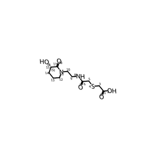 O=C(O)CSCC(=O)NCCN1CCC[C@H](O)C1=O